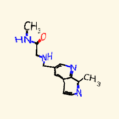 CNC(=O)CNCc1cnc2c(C)nccc2c1